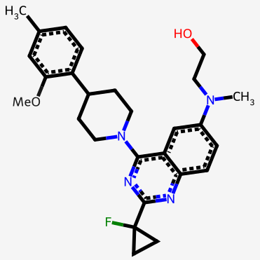 COc1cc(C)ccc1C1CCN(c2nc(C3(F)CC3)nc3ccc(N(C)CCO)cc23)CC1